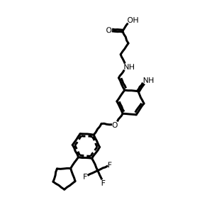 N=C1C=CC(OCc2ccc(C3CCCC3)c(C(F)(F)F)c2)=C/C1=C/NCCC(=O)O